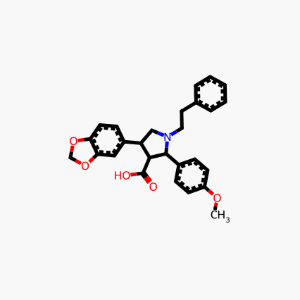 COc1ccc(C2C(C(=O)O)C(c3ccc4c(c3)OCO4)CN2CCc2ccccc2)cc1